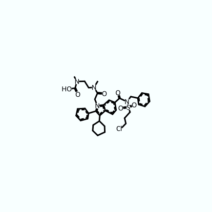 CN(CCN(C)C(=O)Cn1c(-c2ccccc2)c(C2CCCCC2)c2ccc(C(=O)N(Cc3ccccc3)S(=O)(=O)CCCCl)cc21)C(=O)O